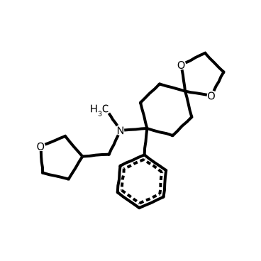 CN(CC1CCOC1)C1(c2ccccc2)CCC2(CC1)OCCO2